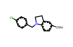 COc1ccc2c(c1)CCN2Cc1ccc(Cl)cc1